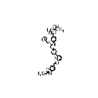 CCc1nc2ccc(COc3cccc(C4CCN(Cc5nc6ccc(C(=O)OC(C)(C)C)cc6n5CC5CCO5)CC4)n3)cc2o1